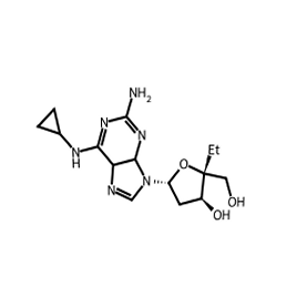 CC[C@]1(CO)O[C@@H](N2C=NC3C(NC4CC4)=NC(N)=NC32)C[C@@H]1O